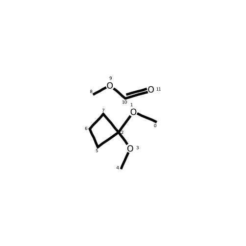 COC1(OC)CCC1.COC=O